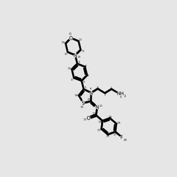 NCCCn1c(-c2ccc(N3CCOCC3)cc2)cs/c1=N\C(=O)c1ccc(F)cc1